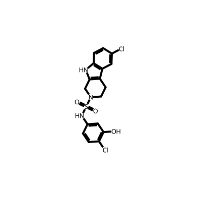 O=S(=O)(Nc1ccc(Cl)c(O)c1)N1CCc2c([nH]c3ccc(Cl)cc23)C1